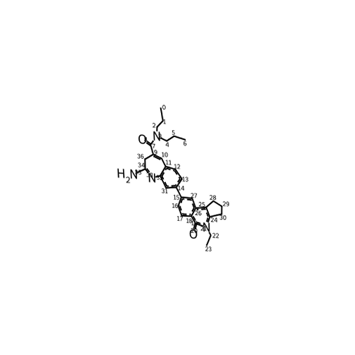 CCCN(CCC)C(=O)C1=Cc2ccc(-c3ccc4c(=O)n(CC)c5c(c4c3)CCC5)cc2N=C(N)C1